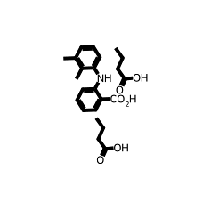 CCCC(=O)O.CCCC(=O)O.Cc1cccc(Nc2ccccc2C(=O)O)c1C